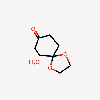 O.O=C1CCC2(CC1)OCCO2